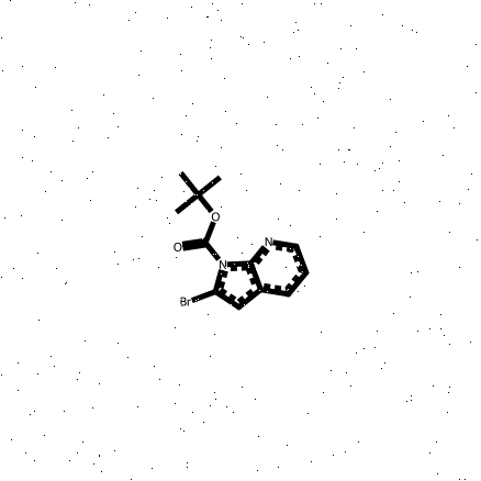 CC(C)(C)OC(=O)n1c(Br)cc2cccnc21